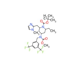 CCC1CC(N(Cc2cc(C(F)(F)F)cc(C(F)(F)F)c2)C(=O)OC)CC(Cc2nccn2C)N1C(=O)OC(C)(C)C